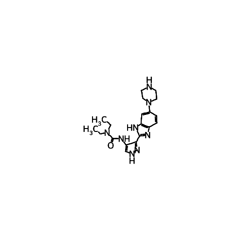 CCN(CC)C(=O)Nc1c[nH]nc1-c1nc2ccc(N3CCNCC3)cc2[nH]1